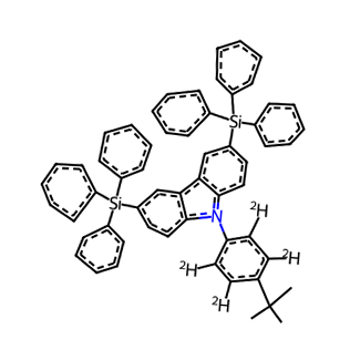 [2H]c1c([2H])c(C(C)(C)C)c([2H])c([2H])c1-n1c2ccc([Si](c3ccccc3)(c3ccccc3)c3ccccc3)cc2c2cc([Si](c3ccccc3)(c3ccccc3)c3ccccc3)ccc21